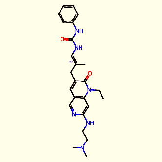 CCn1c(=O)c(C/C(C)=C/NC(=O)Nc2ccccc2)cc2cnc(NCCN(C)C)cc21